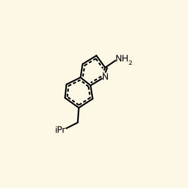 CC(C)Cc1ccc2ccc(N)nc2c1